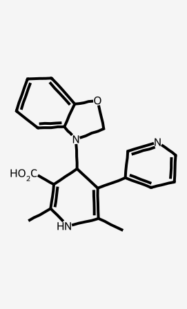 CC1=C(C(=O)O)C(N2COc3ccccc32)C(c2cccnc2)=C(C)N1